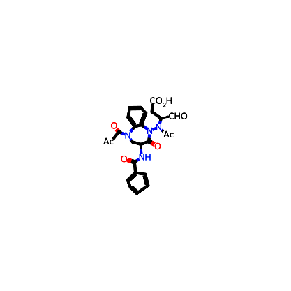 CC(=O)C(=O)N1C[C@H](NC(=O)c2ccccc2)C(=O)N(N(C(C)=O)[C@H](C=O)CC(=O)O)c2ccccc21